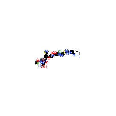 Cc1ncsc1-c1ccc(CNC(=O)[C@@H]2C[C@@H](O)CN2C(=O)[C@@H](NC(=O)C2(F)CC2)C(C)(C)C)c(OC2CCN(C(=O)CC3(O)CCN(c4nccc(Sc5cnc(N6CCC(C)(CN)CC6)cn5)c4Cl)CC3)CC2)c1